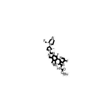 C[C@H]1[C@@H](N2CCN(C)C[C@H]2CF)CCN1c1ncc2c3c(c(-c4ncc(F)c5sc(NC(=O)OC(C)(C)C)c(C#N)c45)c(F)c2n1)COC3